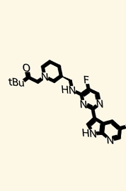 CC(C)(C)C(=O)CN1CCC[C@@H](CNc2nc(-c3c[nH]c4ncc(Cl)cc34)ncc2F)C1